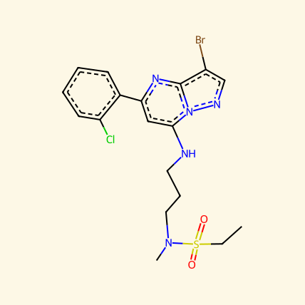 CCS(=O)(=O)N(C)CCCNc1cc(-c2ccccc2Cl)nc2c(Br)cnn12